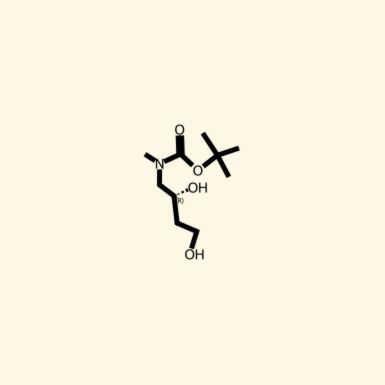 CN(C[C@H](O)CCO)C(=O)OC(C)(C)C